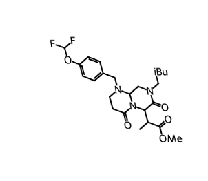 CCC(C)CN1CC2N(Cc3ccc(OC(F)F)cc3)CCC(=O)N2C(C(C)C(=O)OC)C1=O